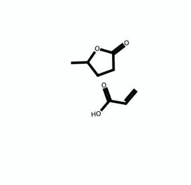 C=CC(=O)O.CC1CCC(=O)O1